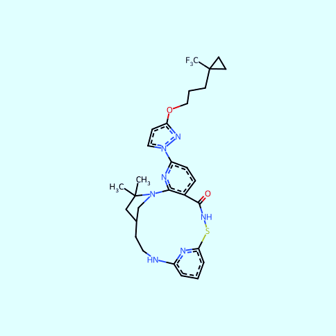 CC1(C)CC2CCNc3cccc(n3)SNC(=O)c3ccc(-n4ccc(OCCCC5(C(F)(F)F)CC5)n4)nc3N1C2